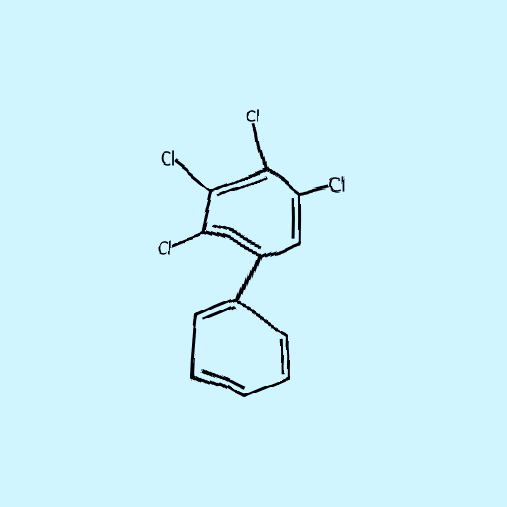 Clc1cc(-c2ccccc2)c(Cl)c(Cl)c1Cl